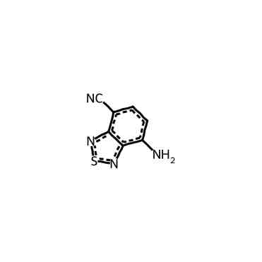 N#Cc1ccc(N)c2nsnc12